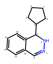 C1=NNC(C2CCCC2)c2ccccc21